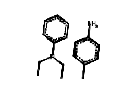 CCN(CC)c1ccccc1.Cc1ccc(N)cc1